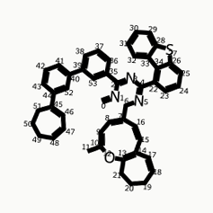 C=N/C(=N\C(=N/Cc1ccc(C)oc2c(cc1)C=CCCC2)c1cccc2sc3ccccc3c12)c1cccc(-c2cccc(C3=CC=CCCC3)c2)c1